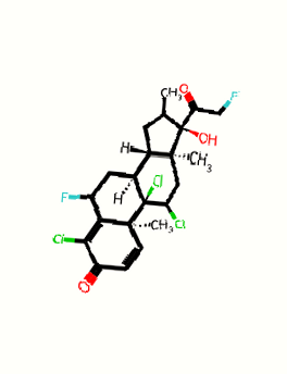 CC1C[C@H]2[C@@H]3CC(F)C4=C(Cl)C(=O)C=C[C@]4(C)[C@@]3(Cl)C(Cl)C[C@]2(C)[C@@]1(O)C(=O)CF